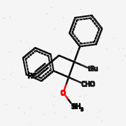 C#CCC(c1ccccc1)(C(C)(C)C)C(C=O)(O[SiH3])c1ccccc1